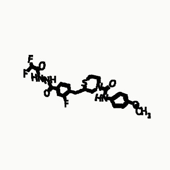 COc1ccc(NC(=O)N2CCSC(Cc3ccc(C(=O)NNC(=O)C(F)F)cc3F)C2)cc1